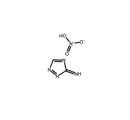 N=C1N=CN=N1.O=[N+]([O-])O